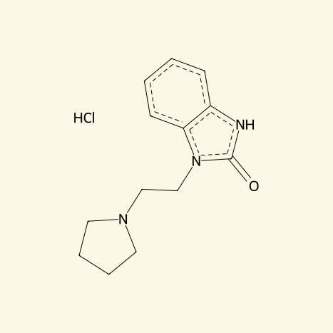 Cl.O=c1[nH]c2ccccc2n1CCN1CCCC1